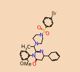 COc1ccccc1N1C(=O)CC(C2C=CC=CC2)N=C1C(C)N1CCN(S(=O)(=O)c2ccc(Br)cc2)CC1